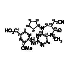 COc1cc(C(=O)O)ccc1Nc1ncc2c(n1)N(C1CCCC1)CC(CC#N)C(=O)N2C